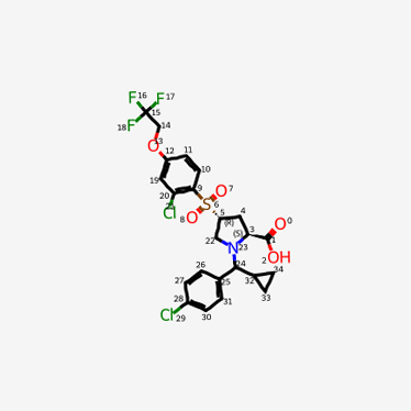 O=C(O)[C@@H]1C[C@@H](S(=O)(=O)c2ccc(OCC(F)(F)F)cc2Cl)CN1C(c1ccc(Cl)cc1)C1CC1